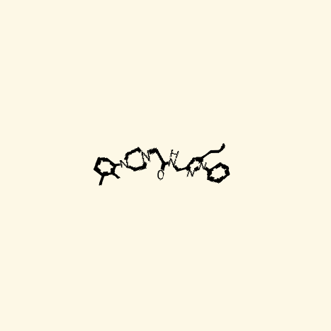 CCCc1cc(CNC(=O)CN2CCN(c3cccc(C)c3C)CC2)nn1-c1ccccc1